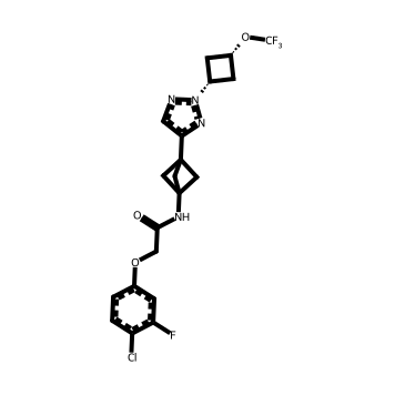 O=C(COc1ccc(Cl)c(F)c1)NC12CC(c3cnn([C@H]4C[C@@H](OC(F)(F)F)C4)n3)(C1)C2